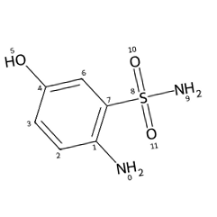 Nc1ccc(O)cc1S(N)(=O)=O